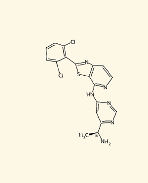 C[C@H](N)c1cc(Nc2nccc3nc(-c4c(Cl)cccc4Cl)sc23)ncn1